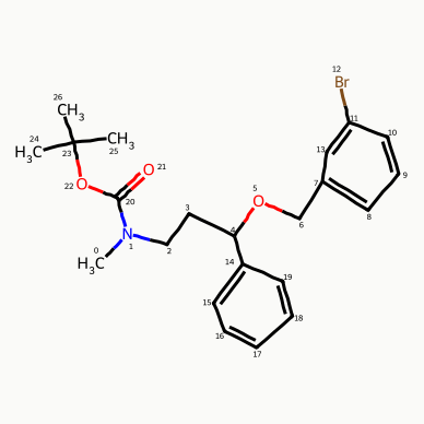 CN(CCC(OCc1cccc(Br)c1)c1ccccc1)C(=O)OC(C)(C)C